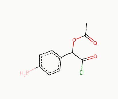 Bc1ccc(C(OC(C)=O)C(=O)Cl)cc1